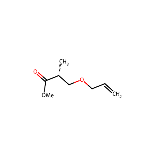 C=CCOC[C@@H](C)C(=O)OC